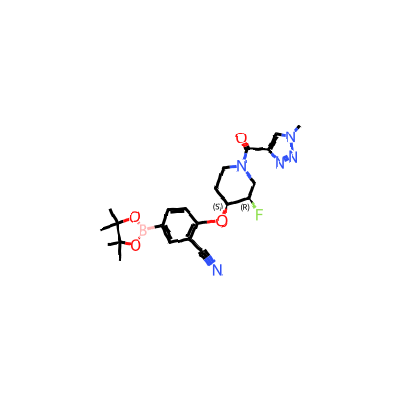 Cn1cc(C(=O)N2CC[C@H](Oc3ccc(B4OC(C)(C)C(C)(C)O4)cc3C#N)[C@H](F)C2)nn1